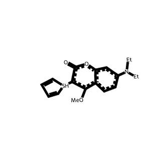 CCN(CC)c1ccc2c(OC)c([SH]3C=CC=C3)c(=O)oc2c1